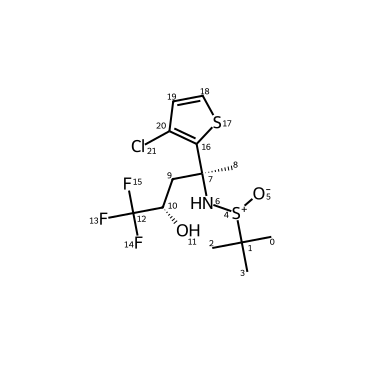 CC(C)(C)[S+]([O-])N[C@@](C)(C[C@H](O)C(F)(F)F)c1sccc1Cl